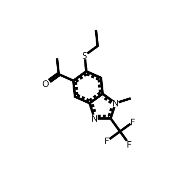 CCSc1cc2c(cc1C(C)=O)nc(C(F)(F)F)n2C